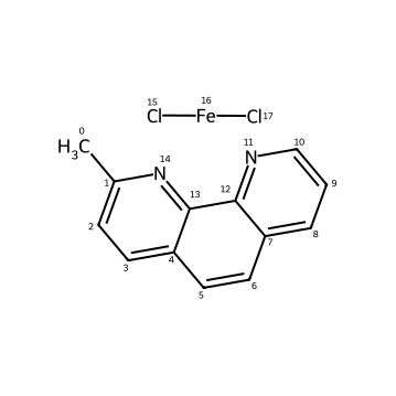 Cc1ccc2ccc3cccnc3c2n1.[Cl][Fe][Cl]